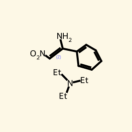 CCN(CC)CC.N/C(=C\[N+](=O)[O-])c1ccccc1